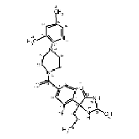 CCCC1(c2ccc(C(=O)N3CCN(c4ncc(C)cc4C)CC3)cc2F)NC(O)NC1=O